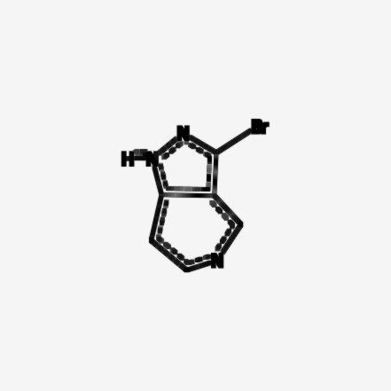 Brc1n[15nH]c2ccncc12